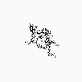 BC(C)(CCCC=C)S(C)(C)c1ccc(S(C)(C)CCCOC(=O)c2ccccc2C(=O)OCCC(C)C)cc1